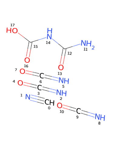 C#N.N=C=O.N=C=O.N=C=O.NC(=O)NC(=O)O